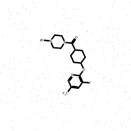 CC(C)N1CCN(C(=O)C2CCC(Oc3ncc(C(F)(F)F)cc3F)CC2)CC1